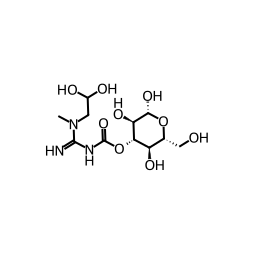 CN(CC(O)O)C(=N)NC(=O)O[C@@H]1[C@@H](O)[C@H](O)O[C@H](CO)[C@H]1O